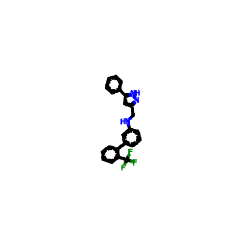 FC(F)(F)c1ccccc1-c1cccc(NCc2cc(-c3ccccc3)[nH]n2)c1